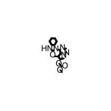 COC(=O)Oc1cn2ncnc(-n3c(=O)[nH]c4ccccc43)c2c1C